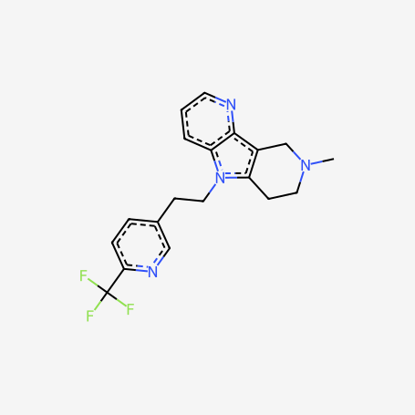 CN1CCc2c(c3ncccc3n2CCc2ccc(C(F)(F)F)nc2)C1